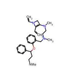 C=CC1=C(N(C)CCN(C)Cc2ccccc2OC(CCNC)c2ccccc2)CN1C=C